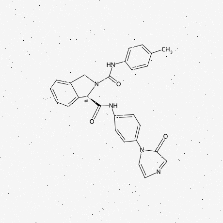 Cc1ccc(NC(=O)N2Cc3ccccc3[C@@H]2C(=O)Nc2ccc(-n3ccncc3=O)cc2)cc1